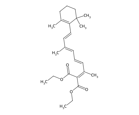 CCOC(=O)C(C(=O)OCC)=C(C)C=CC=C(C)C=CC1=C(C)CCCC1(C)C